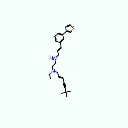 CCN(CC=CC#CC(C)(C)C)CCNCC=Cc1cccc(-c2ccsc2)c1